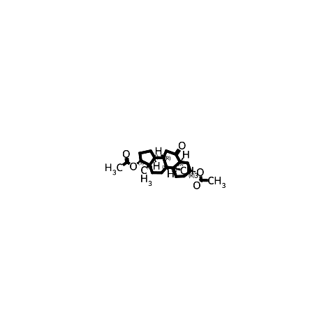 CC(=O)O[C@@H]1CC[C@@]2(C)[C@H](C1)C(=O)C[C@@H]1[C@@H]2CC[C@]2(C)[C@@H](OC(C)=O)CC[C@@H]12